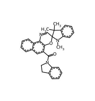 CN1c2ccccc2C(C)(C)C12C=Nc1c(c(C(=O)N3CCc4ccccc43)cc3ccccc13)O2